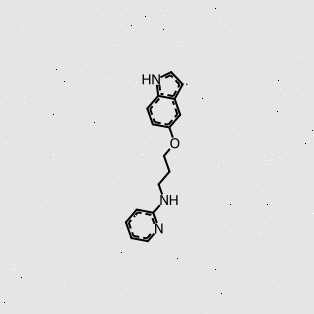 [c]1c[nH]c2ccc(OCCCNc3ccccn3)cc12